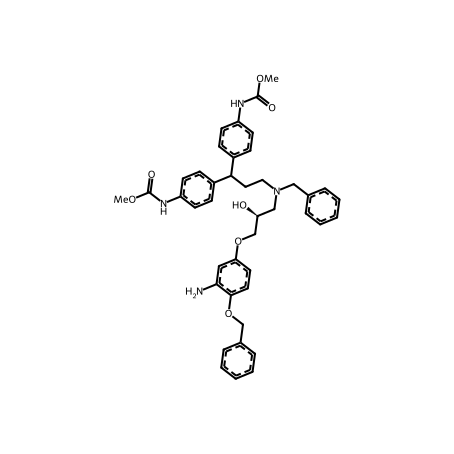 COC(=O)Nc1ccc(C(CCN(Cc2ccccc2)C[C@H](O)COc2ccc(OCc3ccccc3)c(N)c2)c2ccc(NC(=O)OC)cc2)cc1